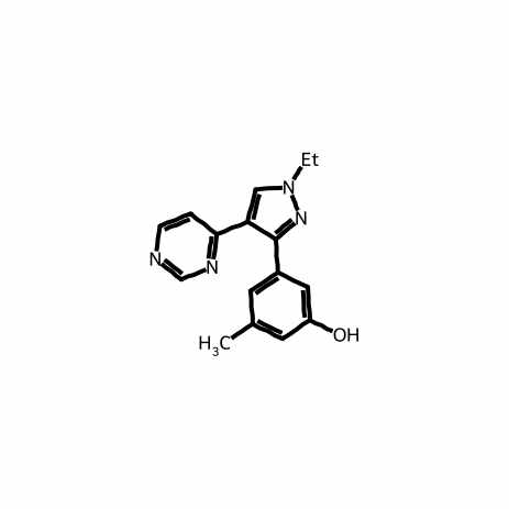 CCn1cc(-c2ccncn2)c(-c2cc(C)cc(O)c2)n1